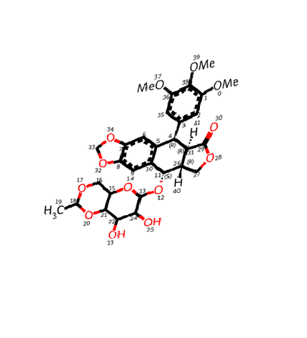 COc1cc([C@@H]2c3cc4c(cc3[C@@H](OC3OC5COC(C)OC5C(O)C3O)[C@H]3COC(=O)[C@H]23)OCO4)cc(OC)c1OC